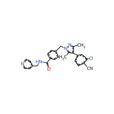 Cc1nn(Cc2ccc(C(=O)NCc3ccncc3)cc2)c(C)c1-c1ccc(C#N)c(Cl)c1